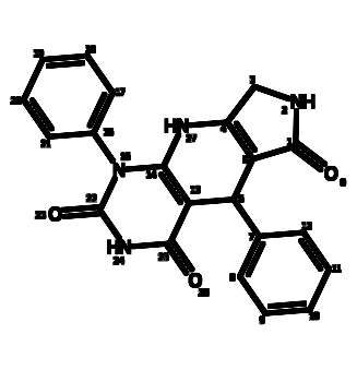 O=C1NCC2=C1C(c1ccccc1)c1c(n(-c3ccccc3)c(=O)[nH]c1=O)N2